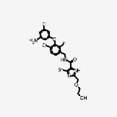 Nc1cc(Cl)cc(Oc2c(Cl)ccc(CNC(=O)c3[nH]c(COCCO)nc3Br)c2F)c1